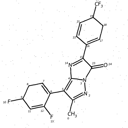 Cc1nn2c(c1C1=CCC(F)C=C1F)N=C(C1=CCC(C(F)(F)F)C=C1)C2=O